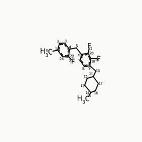 Cc1ccc(Cc2ccc(CC3CCC(C)CC3)c(F)c2F)c(F)c1